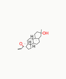 C=CC(=O)[C@H]1CC[C@H]2[C@@H]3CCC4CC(C)(O)CC[C@]4(C)[C@H]3CC[C@]12C